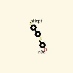 CCCCCCCSc1ccc(-c2ccc(SCc3ccc(OCCCC)cc3)cc2)cc1